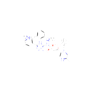 COc1cccc(OC)c1-n1c(NS(=O)(=O)[C@@H](C)[C@@H](O[Si](C)(C)C(C)(C)C)c2cnc(C)cn2)nnc1-c1cncc(C)c1